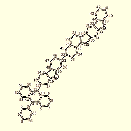 c1ccc(-c2c3ccccc3c(-c3ccc4c(c3)oc3cc(-c5ccc6c(ccc7c8cc9c(cc8sc67)sc6ccccc69)c5)ccc34)c3ccccc23)cc1